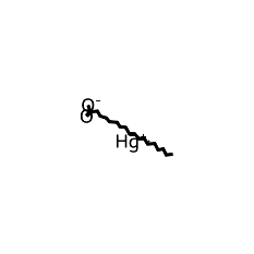 CCCCCCCCC=CCCCCCCCC(=O)[O-].[Hg+]